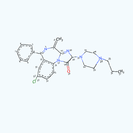 C=C1N=C(c2ccccc2)c2cc(Cl)ccc2N2C(=O)C(N3CCN(CCC)CC3)N=C12